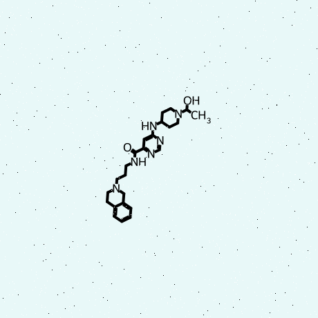 CC(O)N1CCC(Nc2cc(C(=O)NCCCN3CCc4ccccc4C3)ncn2)CC1